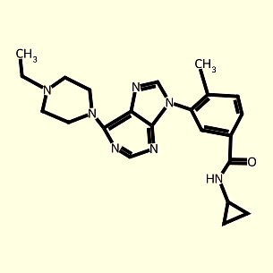 CCN1CCN(c2ncnc3c2ncn3-c2cc(C(=O)NC3CC3)ccc2C)CC1